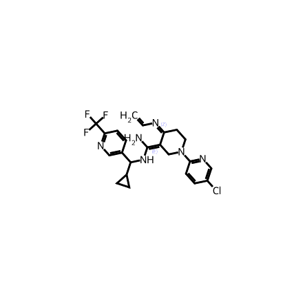 C=C/N=C1/CCN(c2ccc(Cl)cn2)C/C1=C(/N)NC(c1ccc(C(F)(F)F)nc1)C1CC1